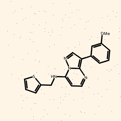 COc1cccc(-c2cnn3c(NCc4cccs4)ccnc23)c1